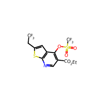 CCOC(=O)c1cnc2sc(CC(F)(F)F)cc2c1OS(=O)(=O)C(F)(F)F